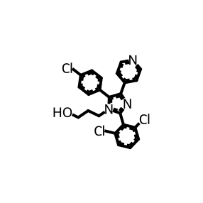 OCCCn1c(-c2c(Cl)cccc2Cl)nc(-c2ccncc2)c1-c1ccc(Cl)cc1